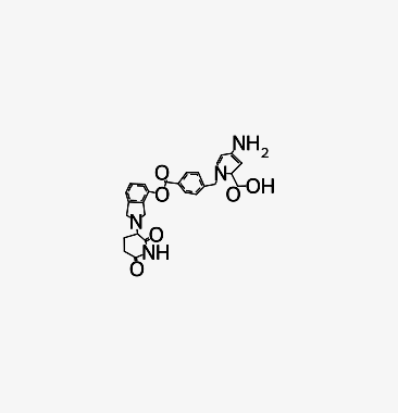 NC1=CC(C(=O)O)N(Cc2ccc(C(=O)Oc3cccc4c3CN(C3CCC(=O)NC3=O)C4)cc2)C=C1